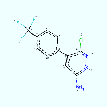 Nc1cc(-c2ccc(C(F)(F)F)cc2)c(Cl)nn1